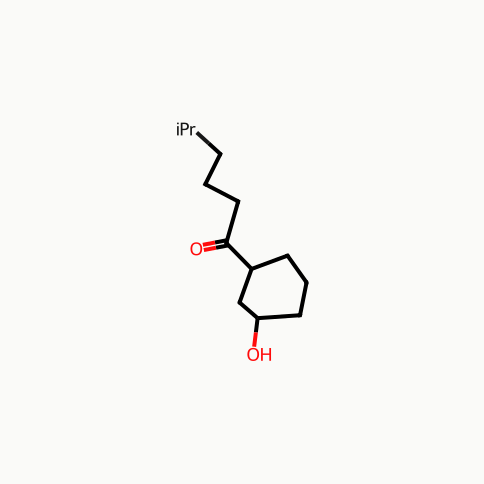 CC(C)CCCC(=O)C1CCCC(O)C1